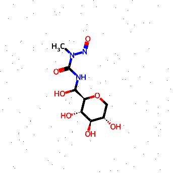 CN(N=O)C(=O)NC(O)[C@H]1OC[C@H](O)[C@@H](O)[C@@H]1O